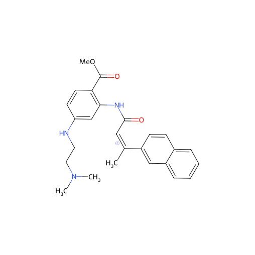 COC(=O)c1ccc(NCCN(C)C)cc1NC(=O)/C=C(/C)c1ccc2ccccc2c1